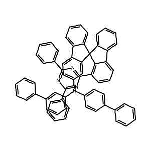 c1ccc(-c2ccc(N(c3cccc(-c4ccccc4)c3)c3ccc4c(c3)C3(c5ccccc5-4)c4ccccc4-c4cccc(-c5nc(-c6ccccc6)nc(-c6ccccc6)n5)c43)cc2)cc1